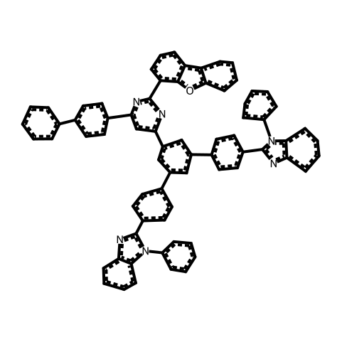 c1ccc(-c2ccc(-c3cc(-c4cc(-c5ccc(-c6nc7ccccc7n6-c6ccccc6)cc5)cc(-c5ccc(-c6nc7ccccc7n6-c6ccccc6)cc5)c4)nc(-c4cccc5c4oc4ccccc45)n3)cc2)cc1